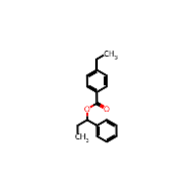 CCc1ccc(C(=O)OC(CC)c2ccccc2)cc1